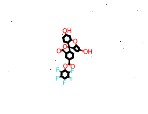 O=C(Oc1c(F)c(F)c(F)c(F)c1F)c1ccc2c(c1)C(=O)OC21c2ccc(O)cc2Oc2cc(O)ccc21